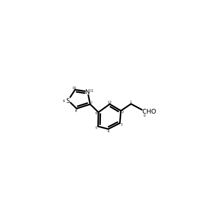 O=CCc1cccc(-c2cscn2)c1